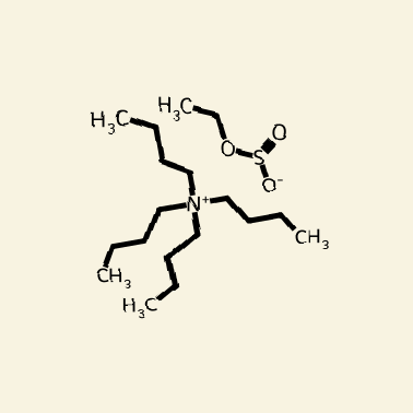 CCCC[N+](CCCC)(CCCC)CCCC.CCOS(=O)[O-]